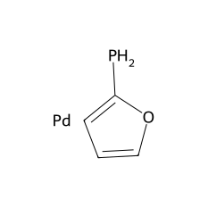 Pc1ccco1.[Pd]